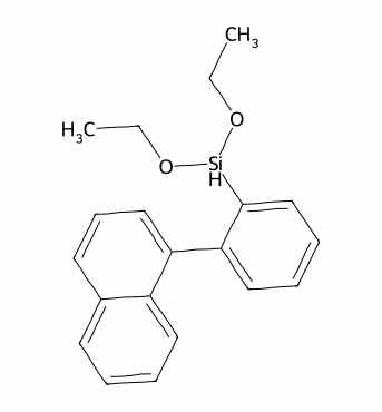 CCO[SiH](OCC)c1ccccc1-c1cccc2ccccc12